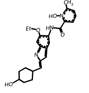 CCOc1cc2c(cc1NC(=O)c1cccc(C)[n+]1O)=C/C(=C/C1CCC(O)CC1)N=2